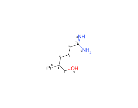 CC(C)[C](CO)CCCC(=N)N